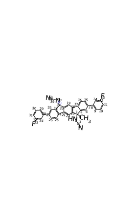 CC1(NC#N)c2cc(-c3cccc(F)c3)ccc2-c2cc3c(cc21)-c1ccc(-c2cccc(F)c2)cc1/C3=N\C#N